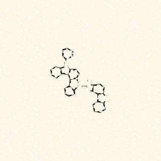 c1ccc(-n2c3ccccc3c3c4c5ccccc5n(-c5nc6ccc7sc8ccccc8c7c6o5)c4ccc32)cc1